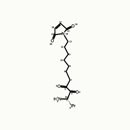 CC(C)[C@H](N)C(=O)C(=O)CCCCCCCN1C(=O)C=CC1=O